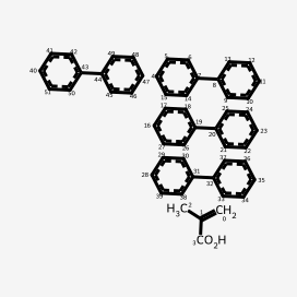 C=C(C)C(=O)O.c1ccc(-c2ccccc2)cc1.c1ccc(-c2ccccc2)cc1.c1ccc(-c2ccccc2)cc1.c1ccc(-c2ccccc2)cc1